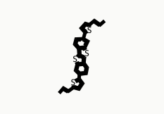 CC=Cc1ccc(-c2ccc3c(c2)sc2c4ccc(-c5ccc(C=CC)s5)cc4sc32)s1